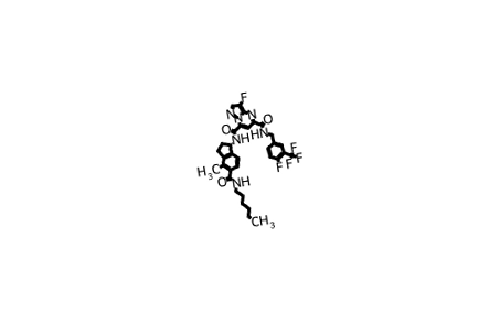 CCCCCCNC(=O)c1ccc2c(c1C)CC[C@@H]2NC(=O)c1cc(C(=O)NCc2ccc(F)c(C(F)(F)F)c2)nc2c(F)cnn12